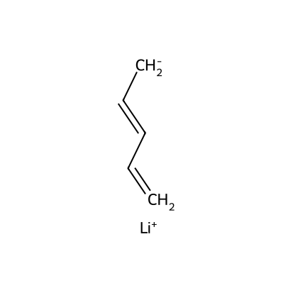 C=CC=C[CH2-].[Li+]